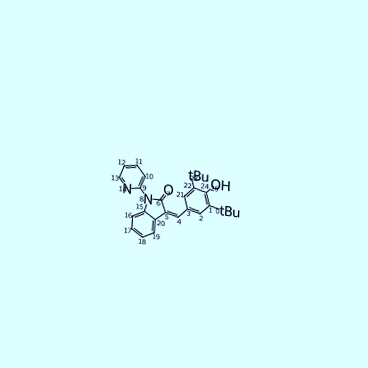 CC(C)(C)c1cc(C=C2C(=O)N(c3ccccn3)c3ccccc32)cc(C(C)(C)C)c1O